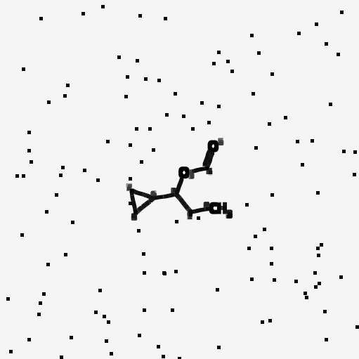 CCC(OC=O)C1CC1